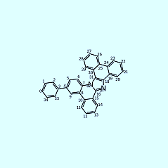 c1ccc(-c2ccc3c(c2)c2ccccc2c2nc4c5ccccc5c5ccccc5c4n32)cc1